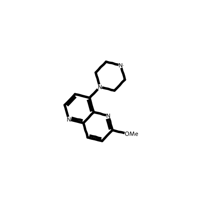 COc1ccc2nccc(N3CC[N]CC3)c2n1